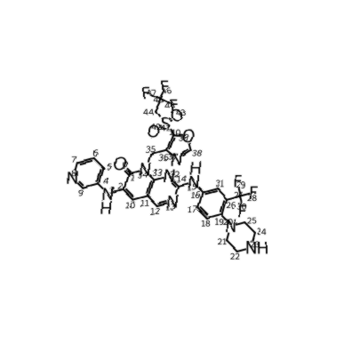 O=c1c(Nc2cccnc2)cc2cnc(Nc3ccc(N4CCNCC4)c(C(F)(F)F)c3)nc2n1Cc1ncoc1S(=O)(=O)CC(F)(F)F